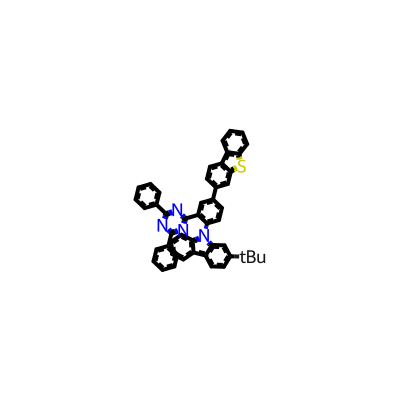 CC(C)(C)c1ccc2c3ccccc3n(-c3ccc(-c4ccc5c(c4)sc4ccccc45)cc3-c3nc(-c4ccccc4)nc(-c4ccccc4)n3)c2c1